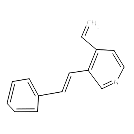 C=Cc1ccncc1C=Cc1ccccc1